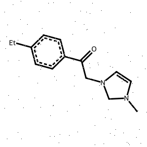 CCc1ccc(C(=O)CN2C=CN(C)C2)cc1